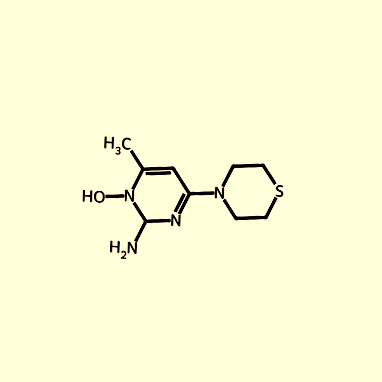 CC1=CC(N2CCSCC2)=NC(N)N1O